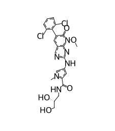 COn1c(=O)c(-c2c(Cl)cccc2Cl)cc2cnc(Nc3cc(C(=O)NC[C@@H](O)CO)n(C)c3)nc21